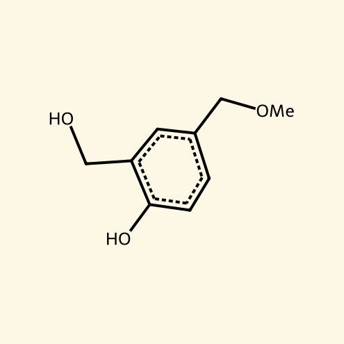 COCc1ccc(O)c(CO)c1